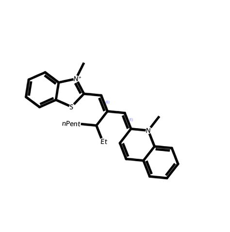 CCCCCC(CC)C(=C\c1sc2ccccc2[n+]1C)/C=C1\C=Cc2ccccc2N1C